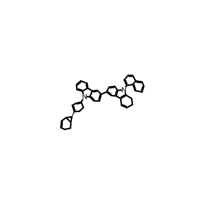 C1=Cc2c(n(-c3cccc4ccccc34)c3ccc(-c4ccc5c(c4)c4ccccc4n5C4=CC=C([C@@H]5C6C=CCCC65)CC4)cc23)CC1